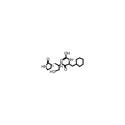 O=C(O)NC(CC1CCCCC1)C(=O)NC(CO)C[C@@H]1CCNC1=O